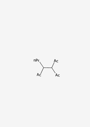 [CH2]CCC(C(C)=O)C(C(C)=O)C(C)=O